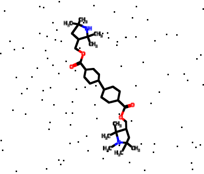 CN1C(C)(C)CC(COC(=O)C2CCC(C3CCC(C(=O)OCC4CC(C)(C)NC4(C)C)CC3)CC2)C1(C)C